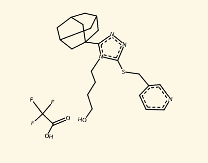 O=C(O)C(F)(F)F.OCCCCn1c(SCc2cccnc2)nnc1C12CC3CC(CC(C3)C1)C2